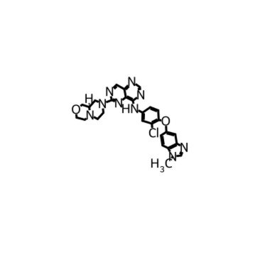 Cn1cnc2cc(Oc3ccc(Nc4ncnc5cnc(N6CCN7CCOC[C@H]7C6)nc45)cc3Cl)ccc21